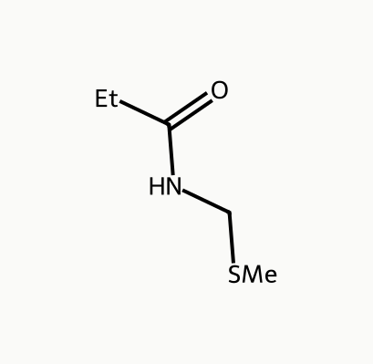 CCC(=O)NCSC